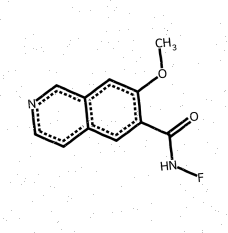 COc1cc2cnccc2cc1C(=O)NF